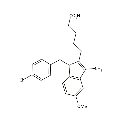 COc1ccc2c(c1)c(C)c(CCCCC(=O)O)n2Cc1ccc(Cl)cc1